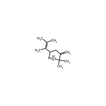 C=C(CC(P)C(C)=C(C)C)C(C)(C)C